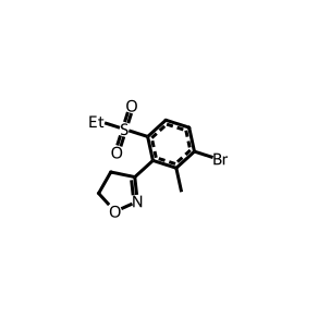 CCS(=O)(=O)c1ccc(Br)c(C)c1C1=NOCC1